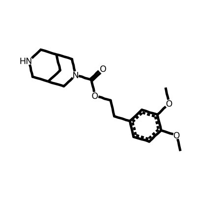 COc1ccc(CCOC(=O)N2CC3CNCC(C3)C2)cc1OC